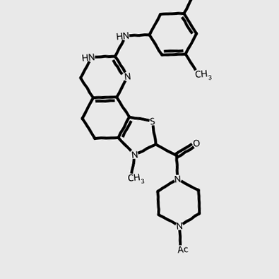 CC(=O)N1CCN(C(=O)C2SC3=C(CCC4=C3N=C(NC3C=C(C)C=C(C)C3)NC4)N2C)CC1